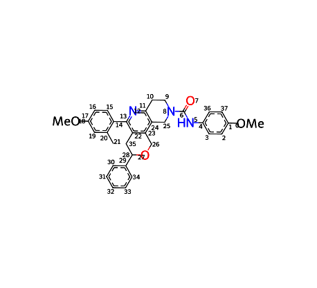 COc1ccc(NC(=O)N2CCc3nc(-c4ccc(OC)cc4C)c4c(c3C2)COC(c2ccccc2)C4)cc1